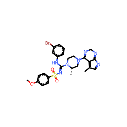 COc1ccc(S(=O)(=O)/N=C(\Nc2cccc(Br)c2)N2CCN(C3=NCN=C4N=CC(C)=C43)C[C@@H]2C)cc1